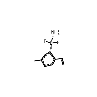 F[B-](F)(F)F.[CH2]c1ccc(C=C)cc1.[NH4+]